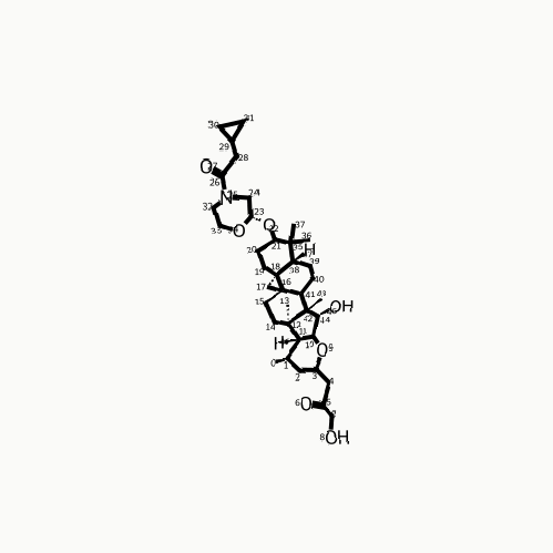 C[C@@H]1CC(CC(=O)CO)OC2[C@H]1[C@@]1(C)CC[C@@]34C[C@@]35CCC(O[C@H]3CN(C(=O)CC6CC6)CCO3)C(C)(C)[C@@H]5CCC4[C@]1(C)[C@H]2O